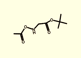 CC(=O)ONCC(=O)OC(C)(C)C